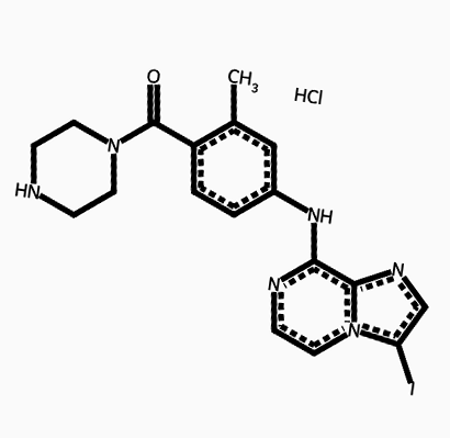 Cc1cc(Nc2nccn3c(I)cnc23)ccc1C(=O)N1CCNCC1.Cl